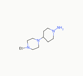 CCN1CCN(C2CCN(N)CC2)CC1